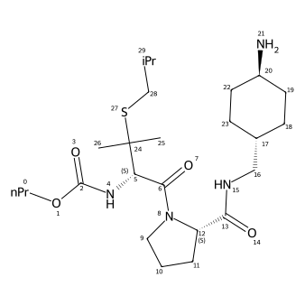 CCCOC(=O)N[C@@H](C(=O)N1CCC[C@H]1C(=O)NC[C@H]1CC[C@H](N)CC1)C(C)(C)SCC(C)C